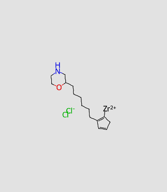 [Cl-].[Cl-].[Zr+2][C]1=C(CCCCCCC2CNCCO2)C=CC1